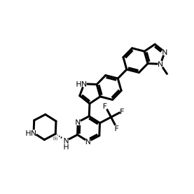 Cn1ncc2ccc(-c3ccc4c(-c5nc(N[C@H]6CCCNC6)ncc5C(F)(F)F)c[nH]c4c3)cc21